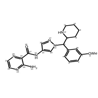 COc1cccc(C(C2CCCCN2)n2cc(NC(=O)c3nccnc3N)cn2)c1